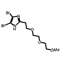 COCCOCCOCCc1nc(Br)c(Br)[nH]1